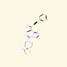 C[C@@H]1OCC2(CCN(c3nc4[nH]nc(C#Cc5cc(Cl)cc(Cl)c5)c4c4nccn34)CC2)[C@@H]1N